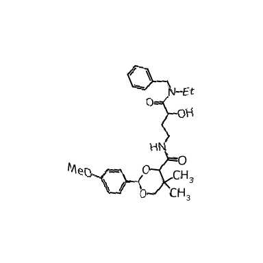 CCN(Cc1ccccc1)C(=O)C(O)CCNC(=O)C1O[C@H](c2ccc(OC)cc2)OCC1(C)C